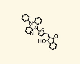 O=C1/C(=C/c2ccc(N3c4ccccc4N(c4ccccc4)c4cccnc43)s2)C(O)c2ccccc21